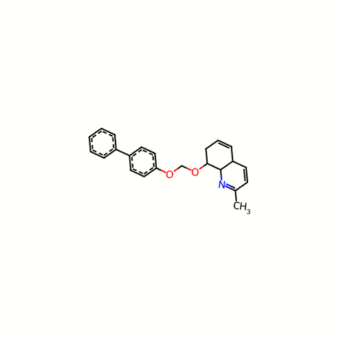 CC1=NC2C(C=CCC2OCOc2ccc(-c3ccccc3)cc2)C=C1